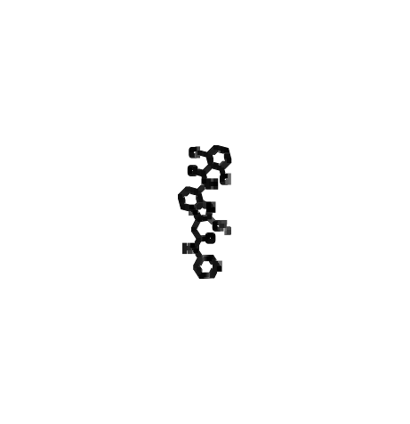 O=C(Cc1c(C(F)(F)F)nc2c(NC(=O)c3c(Cl)cccc3Cl)cccn12)Nc1cccnc1